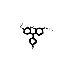 COc1ccc(C(c2ccc(O)cc2)c2ccc(OC)cc2O)cc1